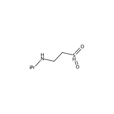 CC(C)NCC[SH](=O)=O